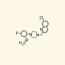 COc1cc(F)ccc1N1CCN(Cc2ccc3ccc(Cl)cc3n2)CC1